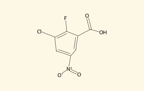 O=C(O)c1cc([N+](=O)[O-])cc(Cl)c1F